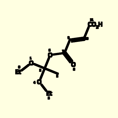 CCOC(C)(OCC)OC(=O)C=CC(=O)O